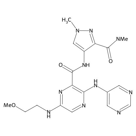 CNC(=O)c1nn(C)cc1NC(=O)c1nc(NCCOC)cnc1Nc1cncnc1